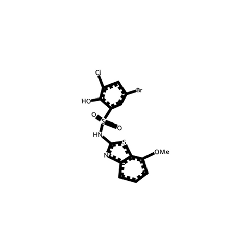 COc1cccc2nc(NS(=O)(=O)c3cc(Br)cc(Cl)c3O)sc12